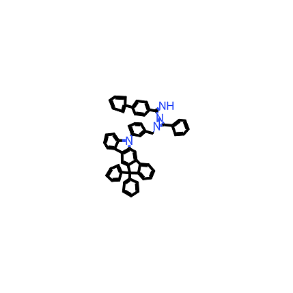 N=C(c1ccc(-c2ccccc2)cc1)N1C(c2ccccc2)[N@@]1Cc1cccc(-n2c3ccccc3c3cc4c(cc32)-c2ccccc2C4(c2ccccc2)c2ccccc2)c1